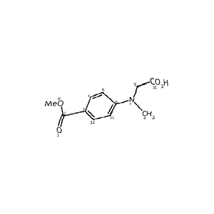 COC(=O)c1ccc(N(C)CC(=O)O)cc1